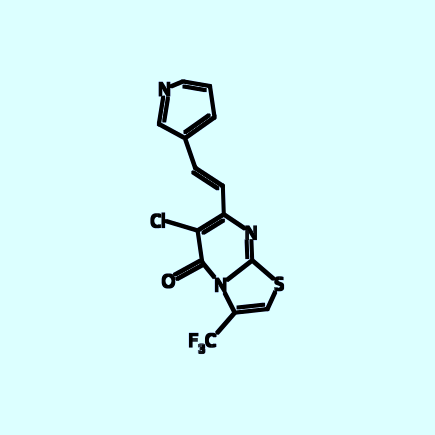 O=c1c(Cl)c(/C=C/c2cccnc2)nc2scc(C(F)(F)F)n12